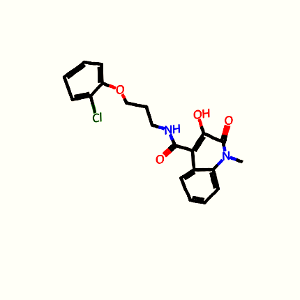 Cn1c(=O)c(O)c(C(=O)NCCCOc2ccccc2Cl)c2ccccc21